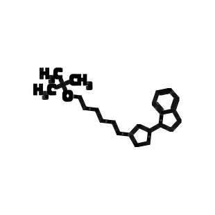 CC(C)(C)OCCCCCCC1CCC(C2CCc3ccccc32)C1